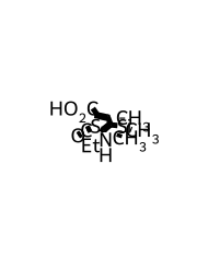 CCNC1=C([Si](C)(C)C)C=C(C(=O)O)S1=C=O